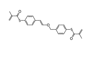 C=C(C)C(=O)Sc1ccc(/C=C/OCc2ccc(SC(=O)C(=C)C)cc2)cc1